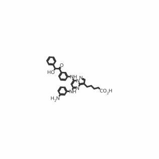 Nc1cccc(Nc2cc(Nc3cccc(C(=O)C(O)c4ccccc4)c3)n3ncc(CCCCC(=O)O)c3n2)c1